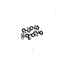 COc1cc([N+](=O)[O-])ccc1N1CCc2nc(-c3ccccn3)ncc2C1.c1ccc(-c2ncc3c(n2)CCN(c2ccccn2)C3)nc1